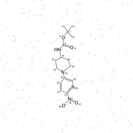 CC(C)(C)OC(=O)NC1CCN(c2ccc([N+](=O)[O-])nc2)CC1